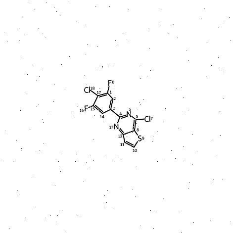 Fc1cc(-c2nc(Cl)c3sccc3n2)cc(F)c1Cl